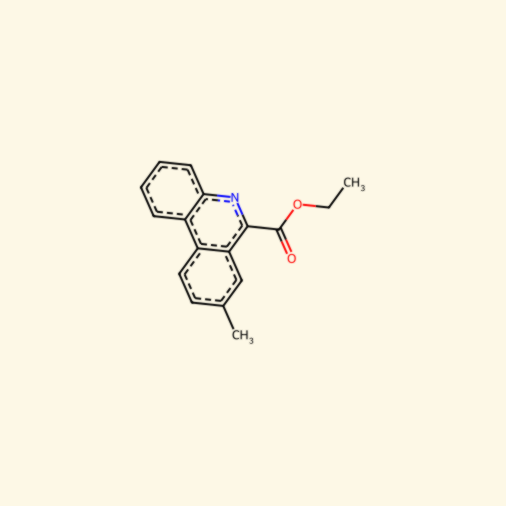 CCOC(=O)c1nc2ccccc2c2ccc(C)cc12